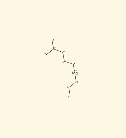 CC[CH2][Mg][CH2]CCC(C)C